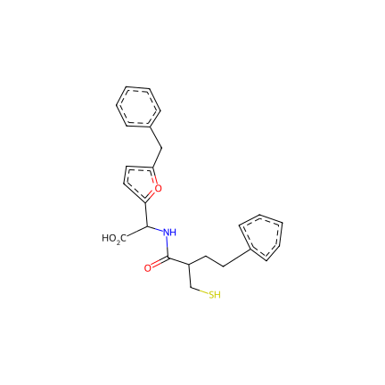 O=C(NC(C(=O)O)c1ccc(Cc2ccccc2)o1)C(CS)CCc1ccccc1